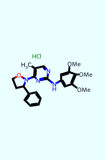 COc1cc(Nc2ncc(C)c(N3OCCC3c3ccccc3)n2)cc(OC)c1OC.Cl